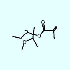 C=C(C)C(=O)OC(C)(OCC)C(C)OC